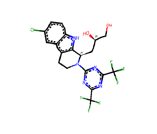 OC[C@H](O)C[C@@H]1c2[nH]c3ccc(Cl)cc3c2CCN1c1nc(C(F)(F)F)nc(C(F)(F)F)n1